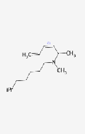 C=C/C=C\C(C)N(C)CCCCCC(C)C